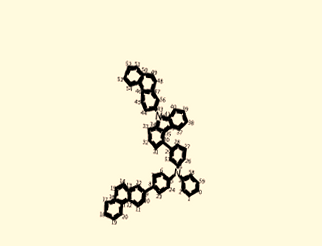 c1ccc(N(c2ccc(-c3ccc4c(ccc5ccccc54)c3)cc2)c2cccc(-c3cccc4c3c3ccccc3n4-c3ccc4c(ccc5ccccc54)c3)c2)cc1